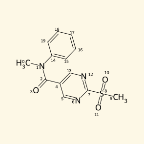 CN(C(=O)c1cnc(S(C)(=O)=O)nc1)c1ccccc1